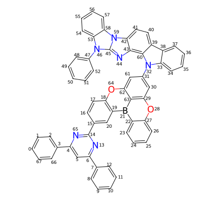 c1ccc(-c2cc(-c3ccccc3)nc(-c3ccc4c(c3)B3c5ccccc5Oc5cc(-n6c7ccccc7c7ccc8c(nc9n(-c%10ccccc%10)c%10ccccc%10n89)c76)cc(c53)O4)n2)cc1